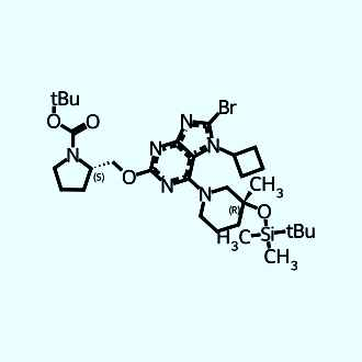 CC(C)(C)OC(=O)N1CCC[C@H]1COc1nc(N2CCC[C@@](C)(O[Si](C)(C)C(C)(C)C)C2)c2c(n1)nc(Br)n2C1CCC1